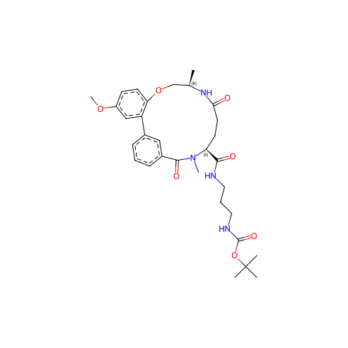 COc1ccc2c(c1)-c1cccc(c1)C(=O)N(C)[C@H](C(=O)NCCCNC(=O)OC(C)(C)C)CCC(=O)N[C@H](C)CO2